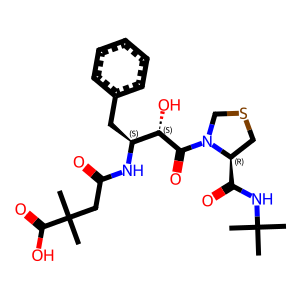 CC(C)(C)NC(=O)[C@@H]1CSCN1C(=O)[C@@H](O)[C@H](Cc1ccccc1)NC(=O)CC(C)(C)C(=O)O